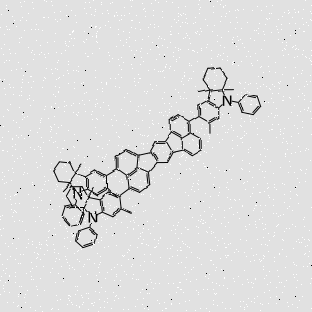 Cc1cc2c(cc1-c1ccc3c4cc5c(cc4c4cccc1c43)c1ccc(-c3cc4c(cc3C)N(c3ccccc3)C3(C)CCCCC43C)c3c(-c4cc6c(cc4C)N(c4ccccc4)C4(C)CCCCC64C)ccc5c31)C1(C)CCCCC1(C)N2c1ccccc1